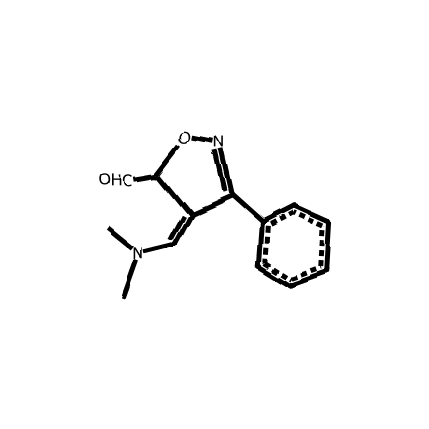 CN(C)C=C1C(c2ccccc2)=NOC1C=O